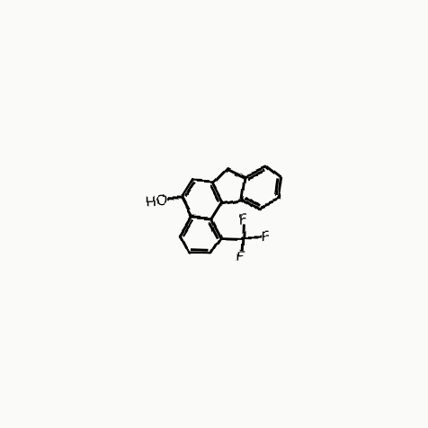 Oc1cc2c(c3c(C(F)(F)F)cccc13)-c1ccccc1C2